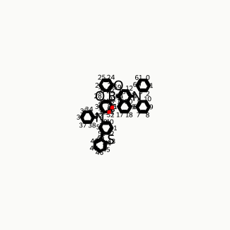 c1ccc(N(c2ccccc2)c2cc3c(c4ccccc24)B2c4c(cccc4Oc4cc(N(c5ccccc5)c5ccc6sc7ccccc7c6c5)c5ccccc5c42)O3)cc1